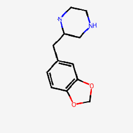 c1cc2c(cc1CC1CNCC[N]1)OCO2